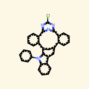 Clc1nc2nc(n1)c1ccccc1c1cc(cc3c4ccccc4n(-c4ccccc4)c13)c1ccccc21